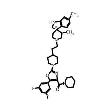 Cc1ccc2c(c1)NC[C@@]21CCN(CCC2CCN(c3nc(C(=O)N4CCCCC4)c(-c4cc(F)cc(F)c4)o3)CC2)C[C@@H]1C